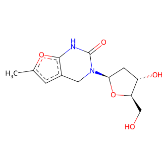 Cc1cc2c(o1)NC(=O)N([C@H]1C[C@H](O)[C@@H](CO)O1)C2